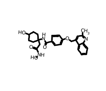 Cc1cc(COc2ccc(C(=O)NC3(CC(=O)NO)CCC(O)CC3)cc2)c2ccccc2n1